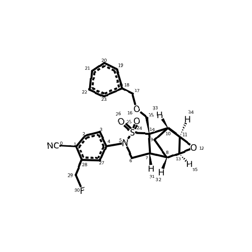 N#Cc1ccc(N2C[C@H]3[C@@H]4C[C@@H]([C@H]5O[C@@H]45)[C@@]3(COCc3ccccc3)S2(=O)=O)cc1CF